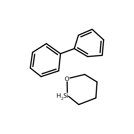 C1CC[SiH2]OC1.c1ccc(-c2ccccc2)cc1